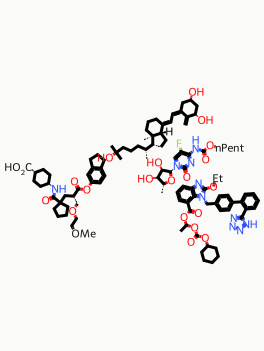 C=C1/C(=C\C=C2/CCC[C@]3(C)[C@@H]([C@H](C)CCCC(C)(C)O)CC[C@@H]23)C[C@@H](O)C[C@@H]1O.CCCCCOC(=O)Nc1nc(=O)n([C@@H]2O[C@H](C)[C@@H](O)[C@H]2O)cc1F.CCOc1nc2cccc(C(=O)OC(C)OC(=O)OC3CCCCC3)c2n1Cc1ccc(-c2ccccc2-c2nnn[nH]2)cc1.COCCOC[C@H](CC1(C(=O)N[C@H]2CC[C@@H](C(=O)O)CC2)CCCC1)C(=O)Oc1ccc2c(c1)CCC2